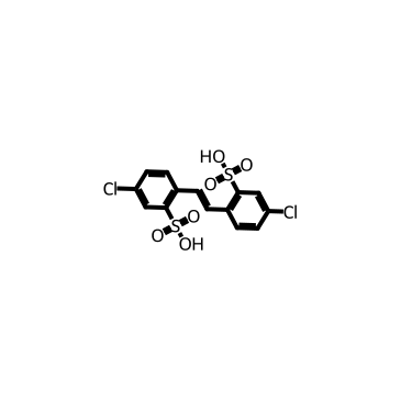 O=S(=O)(O)c1cc(Cl)ccc1/C=C/c1ccc(Cl)cc1S(=O)(=O)O